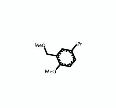 COCc1cc(C(C)C)ccc1OC